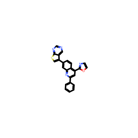 c1ccc(-c2cc(-c3ncco3)c3ccc(-c4csc5ncncc45)cc3n2)cc1